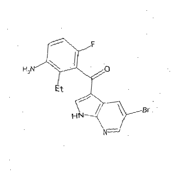 CCc1c(N)ccc(F)c1C(=O)c1c[nH]c2ncc(Br)cc12